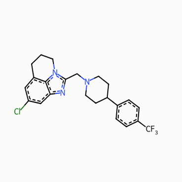 FC(F)(F)c1ccc(C2CCN(Cc3nc4cc(Cl)cc5c4n3CCC5)CC2)cc1